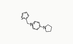 c1csc(C[n+]2ccc(N3CCCC3)cc2)c1